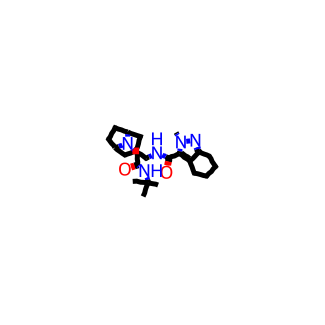 Cn1nc2c(c1C(=O)NCC1CC3CCC(C1)N3CC(=O)NC(C)(C)C)CCCC2